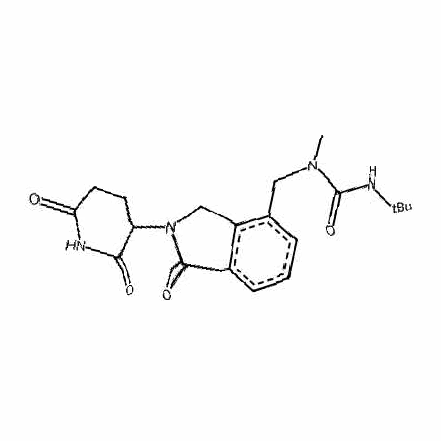 CN(Cc1cccc2c1CN(C1CCC(=O)NC1=O)C2=O)C(=O)NC(C)(C)C